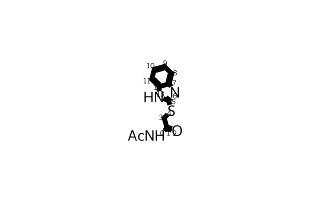 CC(=O)NC(=O)CSc1nc2ccccc2[nH]1